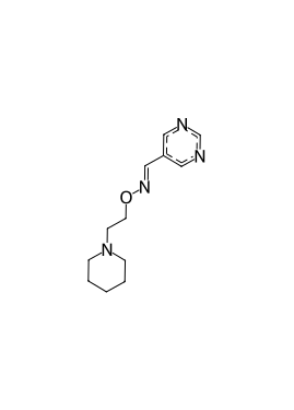 C(=NOCCN1CCCCC1)c1cncnc1